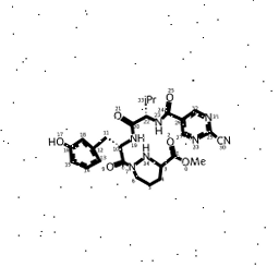 COC(=O)C1CCCN(C(=O)[C@H](Cc2cccc(O)c2)NC(=O)[C@@H](NC(=O)c2cnc(C#N)nc2)C(C)C)N1